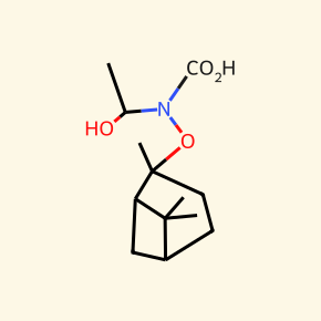 CC(O)N(OC1(C)CCC2CC1C2(C)C)C(=O)O